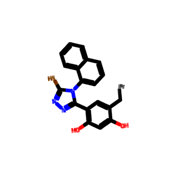 CC(C)Cc1cc(-c2nnc(S)n2-c2cccc3ccccc23)c(O)cc1O